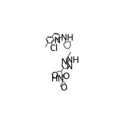 COCC(C(=O)NC1COC1)c1cnc(NCC[C@H]2CC[C@H](Nc3ccc4ccc(C)c(Cl)c4n3)CC2)nc1